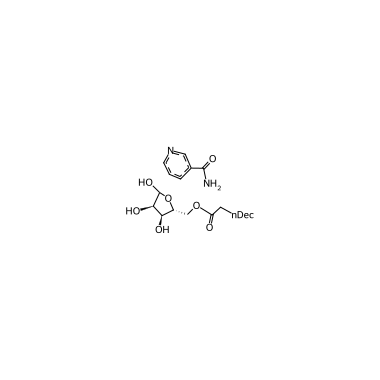 CCCCCCCCCCCC(=O)OC[C@H]1OC(O)[C@H](O)[C@@H]1O.NC(=O)c1cccnc1